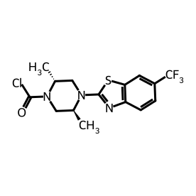 C[C@@H]1CN(c2nc3ccc(C(F)(F)F)cc3s2)[C@@H](C)CN1C(=O)Cl